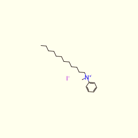 CCCCCCCCCCCC[N+](C)(C)c1ccccc1.[I-]